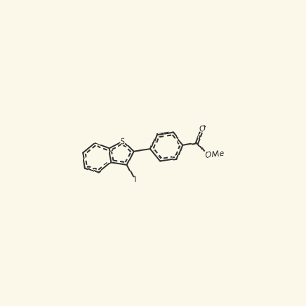 COC(=O)c1ccc(-c2sc3ccccc3c2I)cc1